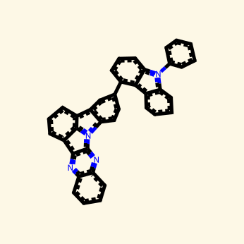 c1ccc(-n2c3ccccc3c3c(-c4ccc5c(c4)c4cccc6c7nc8ccccc8nc7n5c46)cccc32)cc1